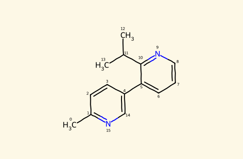 Cc1ccc(-c2cccnc2C(C)C)cn1